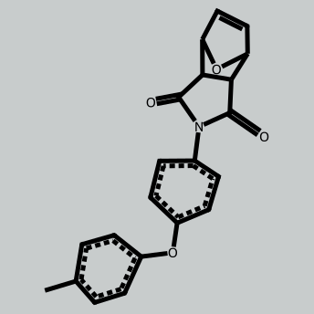 Cc1ccc(Oc2ccc(N3C(=O)C4C5C=CC(O5)C4C3=O)cc2)cc1